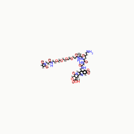 CC[C@@]1(O)C(=O)OCC2C(=O)N3Cc4c(nc5cc6c(cc5c4CNC(=O)CNC(=O)[C@H](CCCCN)NC(=O)[C@@H](NC(=O)CCOCCOCCOCCOCCNC(=O)CCN4C(=O)C=CC4=O)C(C)C)OCO6)C3=CC21